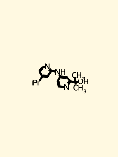 CC(C)c1ccnc(Nc2ccnc(C(C)(C)O)c2)c1